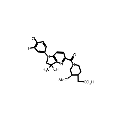 CO[C@H]1CN(C(=O)c2ccc3c(n2)C(C)(C)CN3c2ccc(Cl)c(F)c2)CCC1CC(=O)O